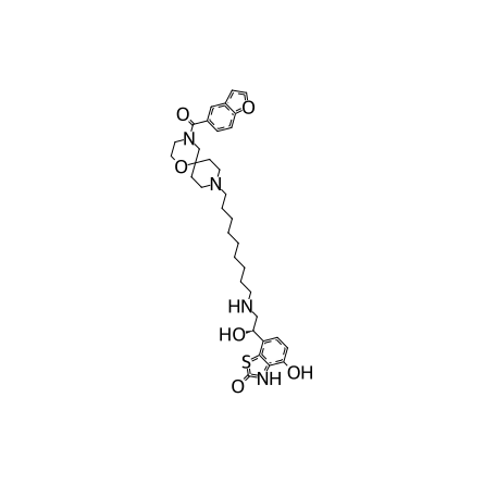 O=C(c1ccc2occc2c1)N1CCOC2(CCN(CCCCCCCCCNC[C@H](O)c3ccc(O)c4[nH]c(=O)sc34)CC2)C1